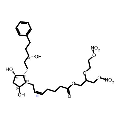 O=C(CCC/C=C\C[C@@H]1[C@@H](CC[C@@H](O)CCc2ccccc2)[C@H](O)C[C@@H]1O)OCC(CO[N+](=O)[O-])OCCO[N+](=O)[O-]